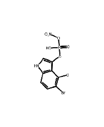 O=[N+]([O-])OP(=O)(O)Oc1c[nH]c2ccc(Br)c(Cl)c12